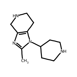 Cc1nc2c(n1C1CCNCC1)CCNC2